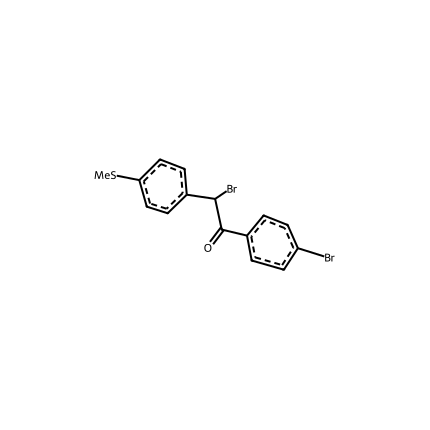 CSc1ccc(C(Br)C(=O)c2ccc(Br)cc2)cc1